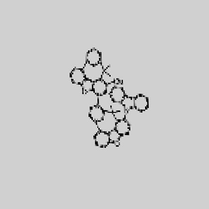 CC(C)(C)c1cc(-c2ccc3cc2C(C)(C)c2c(-n4c5ccccc5c5ccccc54)ccc4oc5cccc-3c5c24)c2oc3cccc4c3c2c1C(C)(C)c1cccc-4c1